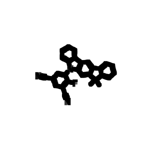 CC1(C)c2ccccc2-c2cc3c4ccccc4n(-c4cc(C#N)cc(C#N)c4F)c3cc21